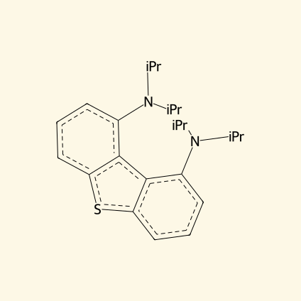 CC(C)N(c1cccc2sc3cccc(N(C(C)C)C(C)C)c3c12)C(C)C